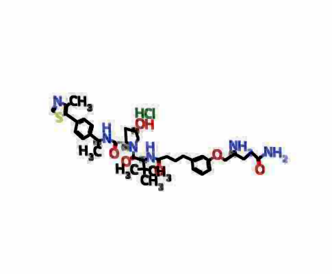 Cc1ncsc1-c1ccc([C@H](C)NC(=O)[C@@H]2C[C@@H](O)CN2C(=O)[C@@H](NC(=O)CCCc2cccc(OC[C@@H](N)CCC(N)=O)c2)C(C)(C)C)cc1.Cl